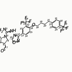 N=C(N)N1CC[C@H](C=O)[C@H]1c1nc(-c2ccc(OCCCCc3ccc(C(F)(F)F)cc3)c(C(F)(F)F)c2)no1